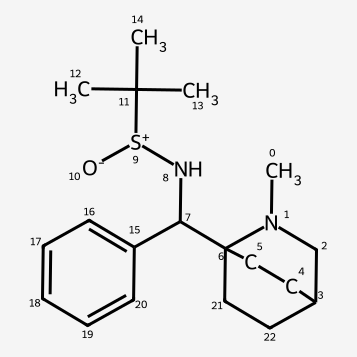 CN1CC2CCC1(C(N[S+]([O-])C(C)(C)C)c1ccccc1)CC2